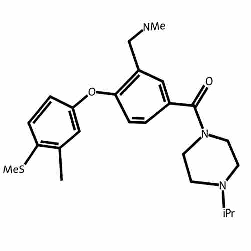 CNCc1cc(C(=O)N2CCN(C(C)C)CC2)ccc1Oc1ccc(SC)c(C)c1